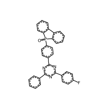 O=P1(c2ccc(-c3nc(-c4ccccc4)nc(-c4ccc(F)cc4)n3)cc2)c2ccccc2-c2ccccc21